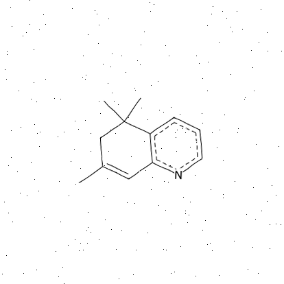 CC1=Cc2ncccc2C(C)(C)C1